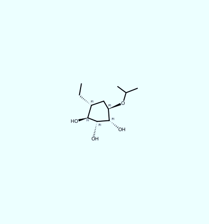 CC[C@@H]1C[C@@H](OC(C)C)[C@H](O)[C@H](O)[C@H]1O